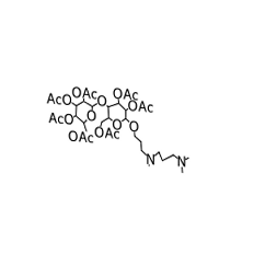 CC(=O)OCC1OC(OC2C(COC(C)=O)OC(OCCCN(C)CCCN(C)C)C(OC(C)=O)C2OC(C)=O)C(OC(C)=O)C(OC(C)=O)C1OC(C)=O